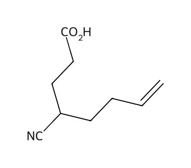 C=CCCC(C#N)CCC(=O)O